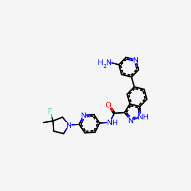 CC1(F)CCN(c2ccc(NC(=O)c3n[nH]c4ccc(-c5cncc(N)c5)cc34)cn2)C1